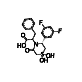 O=C(O)C(Cc1ccccc1)N1C(=O)CS(O)(O)C[C@H]1c1cc(F)cc(F)c1